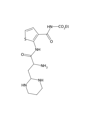 CCOC(=O)NC(=O)c1ccsc1NC(=O)C(N)CC1NCCCN1